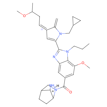 C=c1/c(=C\CC(C)OC)cc(-c2nc3cc(C(=O)N4CC5CCC4[C@@H]5N)cc(OC)c3n2CCC)n1CC1CC1